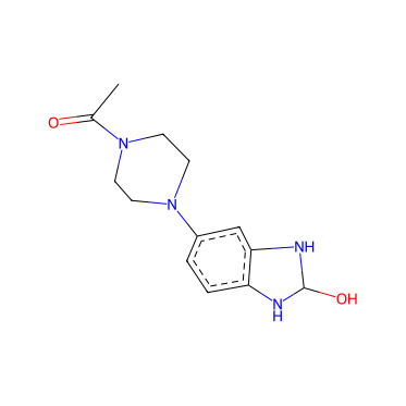 CC(=O)N1CCN(c2ccc3c(c2)NC(O)N3)CC1